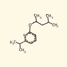 CC(C)CC(C)Oc1cccc(C(C)C)n1